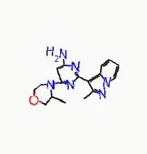 Cc1nn2ccccc2c1-c1nc(N)cc(N2CCOCC2C)n1